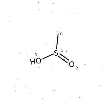 [CH2]S(=O)O